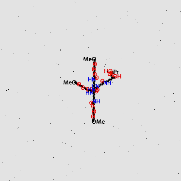 COCCOCCOCCOCC(=O)NCCCCC(NC(=O)COCCOCCOCCOC)C(=O)NC(CCCCNC(=O)COCCOCCOCCOC)C(=O)NCCCC(=O)NCCCCC(CO)COP(=O)(O)C(C)C